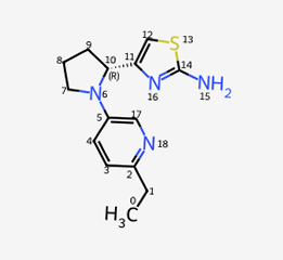 CCc1ccc(N2CCC[C@@H]2c2csc(N)n2)cn1